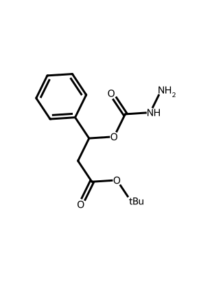 CC(C)(C)OC(=O)CC(OC(=O)NN)c1ccccc1